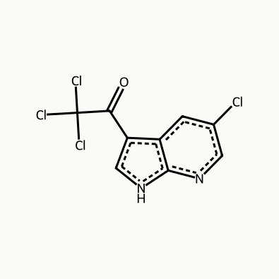 O=C(c1c[nH]c2ncc(Cl)cc12)C(Cl)(Cl)Cl